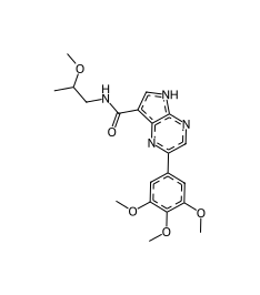 COc1cc(-c2cnc3[nH]cc(C(=O)NCC(C)OC)c3n2)cc(OC)c1OC